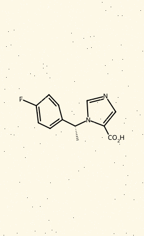 C[C@H](c1ccc(F)cc1)n1cncc1C(=O)O